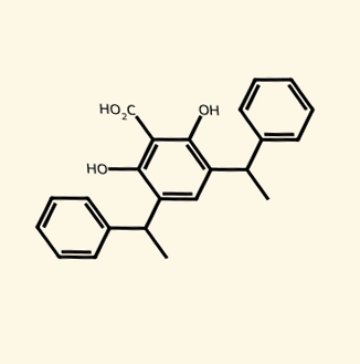 CC(c1ccccc1)c1cc(C(C)c2ccccc2)c(O)c(C(=O)O)c1O